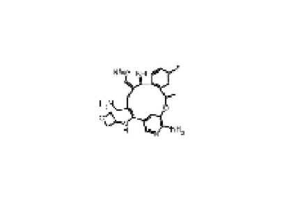 CN/C=C1/C/C(CN)=C(/NC2COC2)c2cnc(N)c(c2)OC(C)c2cc(F)ccc2C1=N